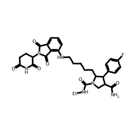 CCNC(=O)N1CC(C(N)=O)C(c2ccc(F)cc2)C1CCCCCNc1cccc2c1C(=O)N(C1CCC(=O)NC1=O)C2=O